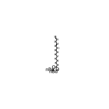 CCCCOC(CCCCCCCCC/C=C/CCI)OCCCC